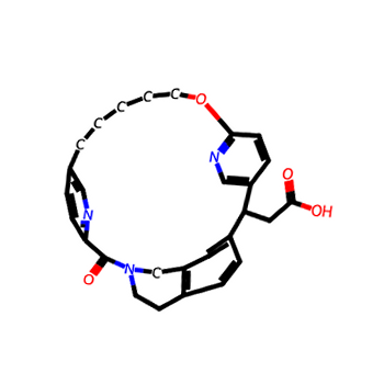 O=C(O)CC1c2ccc(nc2)OCCCCCc2ccc(nc2)C(=O)N2CCc3ccc1cc3C2